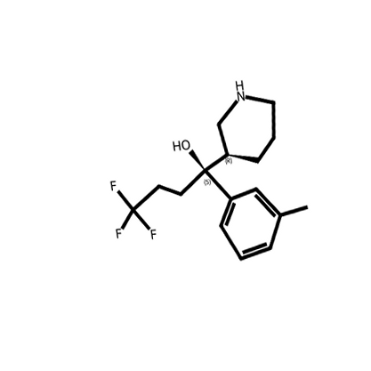 Cc1cccc([C@](O)(CCC(F)(F)F)[C@@H]2CCCNC2)c1